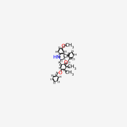 CCC(Cc1cc(OCc2ccccc2)c(C)c(C)c1OCc1ccccc1)Nc1ccc(OC)cc1